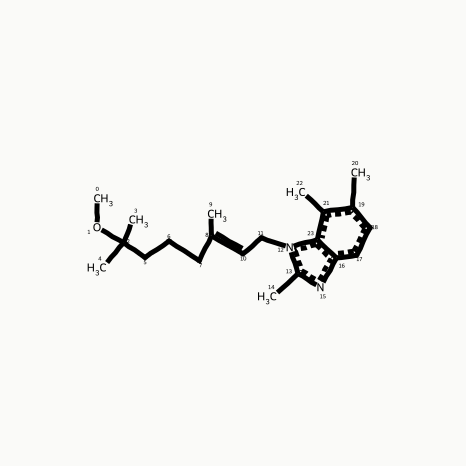 COC(C)(C)CCC/C(C)=C/Cn1c(C)nc2ccc(C)c(C)c21